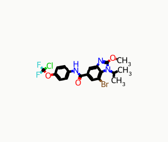 COc1nc2cc(C(=O)Nc3ccc(OC(F)(F)Cl)cc3)cc(Br)c2n1C(C)C